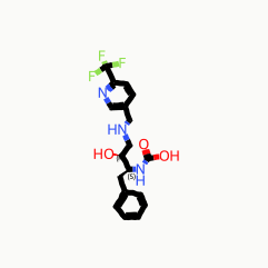 O=C(O)N[C@@H](Cc1ccccc1)[C@H](O)CNCc1ccc(C(F)(F)F)nc1